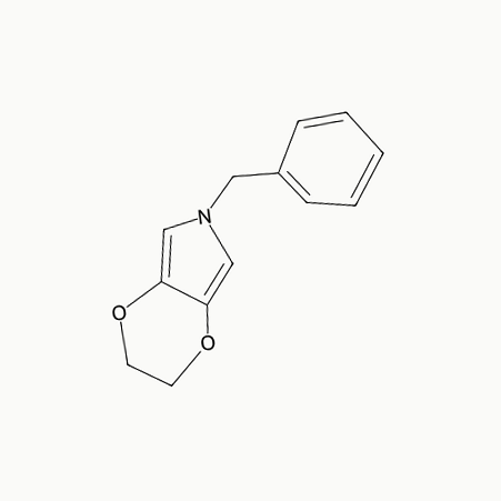 c1ccc(Cn2cc3c(c2)OCCO3)cc1